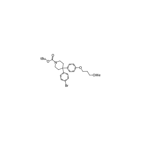 COCCCOc1ccc(C2(c3ccc(Br)cc3)CCN(C(=O)OC(C)(C)C)CC2)cc1